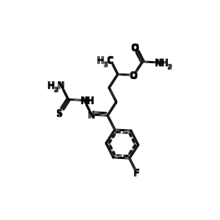 CC(CCC(=NNC(N)=S)c1ccc(F)cc1)OC(N)=O